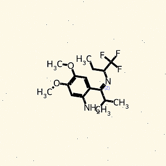 CCC(/N=C(\c1cc(OC)c(OC)cc1N)C(C)C)C(F)(F)F